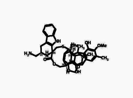 COc1c(C)cc2c(c1O)C1(C)[C@@H]3[C@@H]4SC[C@]5(N[C@@H](CN)Cc6c5[nH]c5ccccc65)C(=O)OC[C@@H](c5c6c(c(C)c(OC(C)=O)c54)OCO6)N3C(O)(C2)CN1C